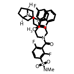 CNS(=O)(=O)c1ccc(F)c(C(=O)N2CCC(CCN3[C@@H]4CC[C@H]3CC(n3c(C)nc5ccccc53)C4)(c3cccc(F)c3)CC2)c1F